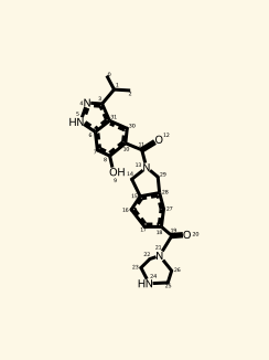 CC(C)c1n[nH]c2cc(O)c(C(=O)N3Cc4ccc(C(=O)N5CCNCC5)cc4C3)cc12